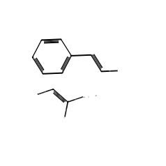 CCC=C(CCCCCC)C(=O)O.O=S(=O)(O)C=Cc1ccccc1